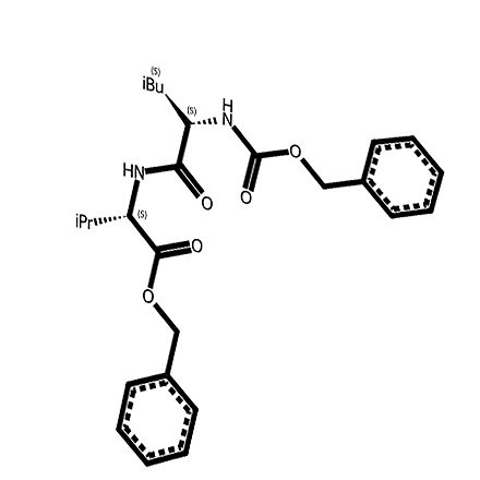 CC[C@H](C)[C@H](NC(=O)OCc1ccccc1)C(=O)N[C@H](C(=O)OCc1ccccc1)C(C)C